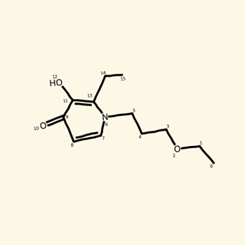 CCOCCCn1ccc(=O)c(O)c1CC